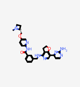 CN1CC[C@@H]1COc1ccc(NC(=O)c2cccc(CNc3ncc(-c4ccnc(N)n4)c4c3CCO4)c2)nc1